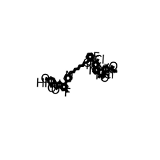 C=C(Cl)C(=O)N1C[C@@H]2C(=O)N(C)c3cnc4c(F)c(-c5c(F)cccc5OCCCCCCCN5CCC(c6cc(F)cc7c6CN(C6CCC(=O)NC6=O)C7=O)CC5)c(Cl)cc4c3N2C[C@H]1C